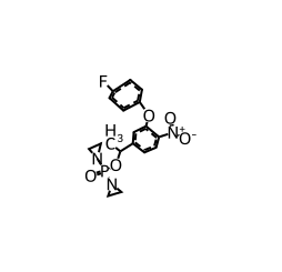 CC(OP(=O)(N1CC1)N1CC1)c1ccc([N+](=O)[O-])c(Oc2ccc(F)cc2)c1